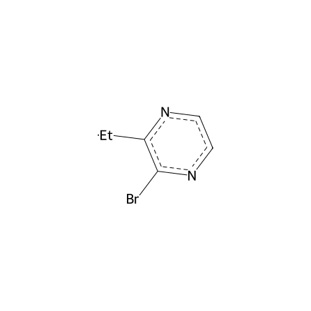 C[CH]c1nccnc1Br